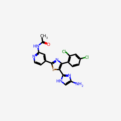 CC(=O)Nc1cc(-c2nc(-c3ccc(Cl)cc3Cl)c(-c3nc(N)c[nH]3)s2)ccn1